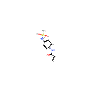 C=CC(=O)Nc1ccc(NS(=O)(=O)CC)cc1